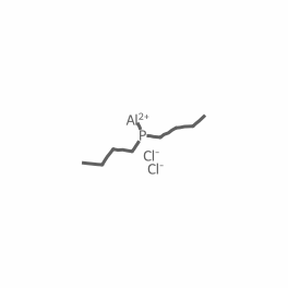 CCCC[P]([Al+2])CCCC.[Cl-].[Cl-]